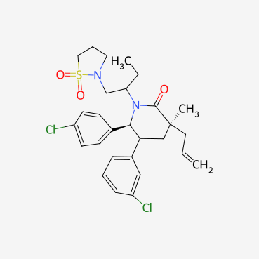 C=CC[C@@]1(C)CC(c2cccc(Cl)c2)[C@@H](c2ccc(Cl)cc2)N(C(CC)CN2CCCS2(=O)=O)C1=O